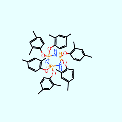 Cc1ccc(OP2(Oc3ccc(C)cc3C)=N[PH](Oc3ccc(C)cc3C)(Oc3ccc(C)cc3C)N[PH](Oc3ccc(C)cc3C)(Oc3ccc(C)cc3C)N2)c(C)c1